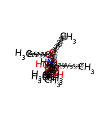 CCCCCCCCCCCCCC(=O)O[C@H]1[C@H](OS(=O)(=O)O)[C@@H](CO[Si](C)(C)C(C)(C)C)OC(O)[C@@H]1NC(=O)c1ccc(OCCCCCCCCCC)c(OCCCCCCCCCC)c1